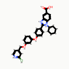 O=C(O)c1ccc2c(c1)nc(-c1ccc(Oc3cccc(OCc4ccnc(Cl)c4)c3)cc1)n2C1CCCCC1